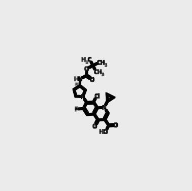 CC(C)(C)OC(=O)N[C@@H]1CCN(c2c(F)cc3c(=O)c(C(=O)O)cn(C4CC4)c3c2Cl)C1